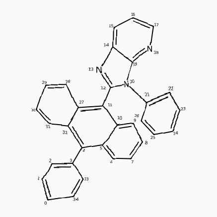 c1ccc(-c2c3ccccc3c(-c3nc4cccnc4n3-c3ccccc3)c3ccccc23)cc1